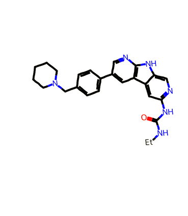 CCNC(=O)Nc1cc2c(cn1)[nH]c1ncc(-c3ccc(CN4CCCCC4)cc3)cc12